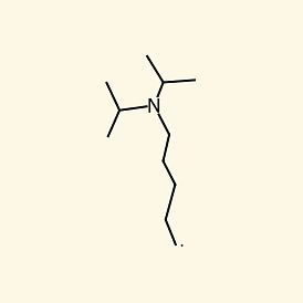 [CH2]CCCCN(C(C)C)C(C)C